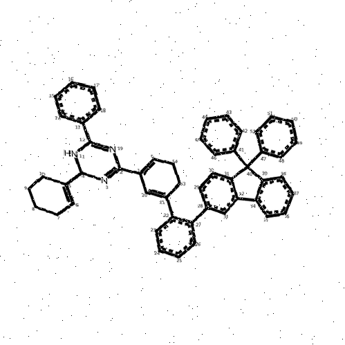 C1=C(C2=NC(C3=CCCCC3)NC(c3ccccc3)=N2)C=C(c2ccccc2-c2ccc3c(c2)-c2ccccc2C3(c2ccccc2)c2ccccc2)CC1